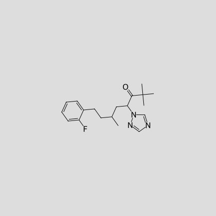 CC(CCc1ccccc1F)CC(C(=O)C(C)(C)C)n1cncn1